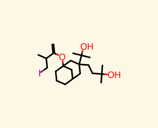 C=C(OC12CCCC(C1)CC(CCC(C)(C)O)(C(C)(C)O)C2)C(C)CI